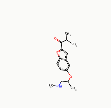 CNC[C@H](C)Oc1ccc2oc(C(=O)C(C)C)cc2c1